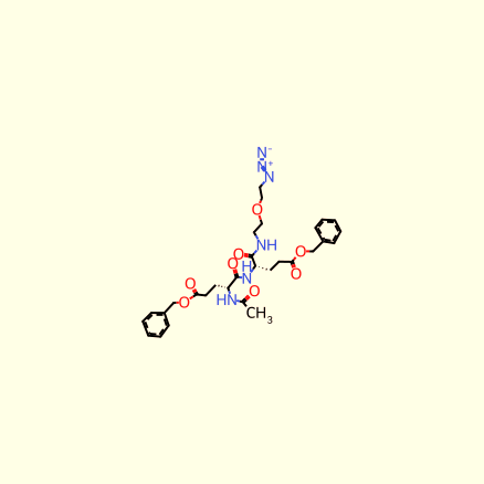 CC(=O)N[C@H](CCC(=O)OCc1ccccc1)C(=O)N[C@@H](CCC(=O)OCc1ccccc1)C(=O)NCCOCCN=[N+]=[N-]